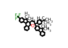 CC(C)(C)c1ccc(C2(c3ccc4c(c3)C(C)(C)c3ccccc3-4)C=Cc3c4c(c5ccccc5c3O2)-c2ccc(C(F)(F)F)cc2C4(C)C)cc1